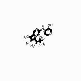 Cc1c(C#N)c(C(C)C(C)(C)F)n2nc(N[C@@H]3CCOC[C@H]3O)ncc12